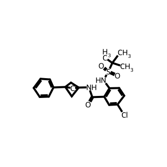 CC(C)(C)S(=O)(=O)Nc1ccc(Cl)cc1C(=O)NC12CC(c3ccccc3)(C1)C2